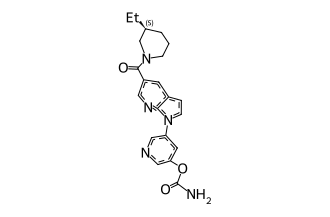 CC[C@H]1CCCN(C(=O)c2cnc3c(ccn3-c3cncc(OC(N)=O)c3)c2)C1